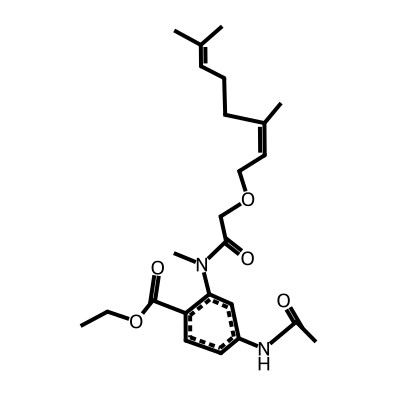 CCOC(=O)c1ccc(NC(C)=O)cc1N(C)C(=O)COCC=C(C)CCC=C(C)C